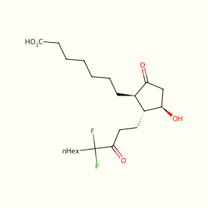 CCCCCCC(F)(F)C(=O)CC[C@H]1[C@H](O)CC(=O)[C@@H]1CCCCCCC(=O)O